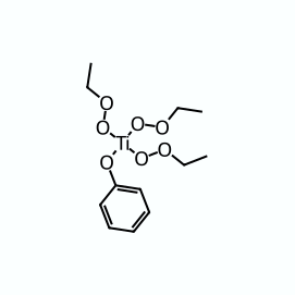 CCO[O][Ti]([O]OCC)([O]OCC)[O]c1ccccc1